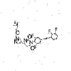 CN1C(=O)N(c2c(F)cc(C#Cc3cccc(F)c3F)cc2F)C(=O)C[C@@]1(C)c1cnn(COCC[Si](C)(C)C)c1